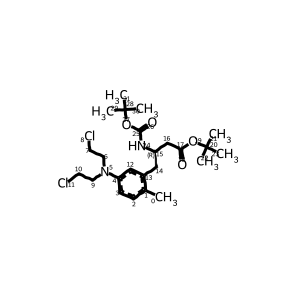 Cc1ccc(N(CCCl)CCCl)cc1C[C@H](CC(=O)OC(C)(C)C)NC(=O)OC(C)(C)C